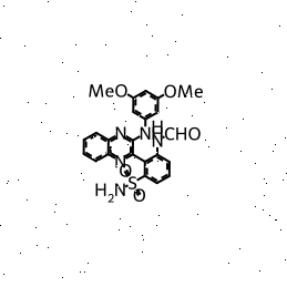 COc1cc(Nc2nc3ccccc3nc2-c2c(NC=O)cccc2S(N)(=O)=O)cc(OC)c1